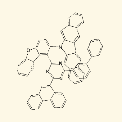 c1ccc(-c2cccc(-c3nc(-c4cc5ccccc5c5ccccc45)nc(-c4c(-n5c6cc7ccccc7cc6c6cc7ccccc7cc65)ccc5oc6ccccc6c45)n3)c2)cc1